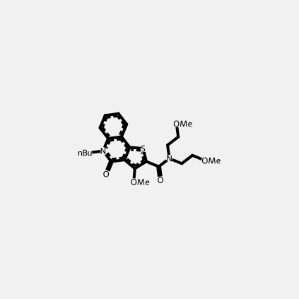 CCCCn1c(=O)c2c(OC)c(C(=O)N(CCOC)CCOC)sc2c2ccccc21